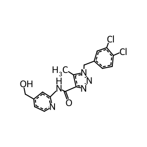 Cc1c(C(=O)Nc2cc(CO)ccn2)nnn1Cc1ccc(Cl)c(Cl)c1